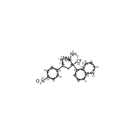 N/N=C(\C[C@](C(N)=O)(c1cccc2ncccc12)C(F)(F)F)c1ccc([N+](=O)[O-])cc1